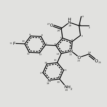 CC1(C)Cc2c(c(-c3ccc(F)cc3)c(-c3ccnc(N)c3)n2OC=O)C(=O)N1